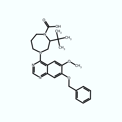 COc1cc2c(N3CCCN(C(=O)O)C(C(C)(C)C)C3)ncnc2cc1OCc1ccccc1